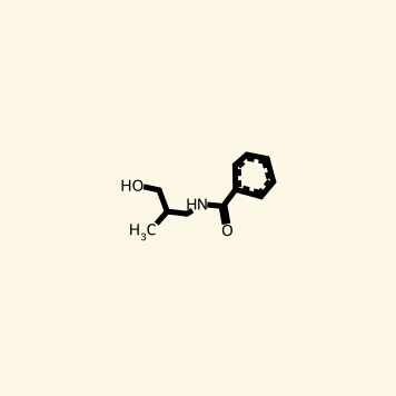 CC(CO)CNC(=O)c1ccccc1